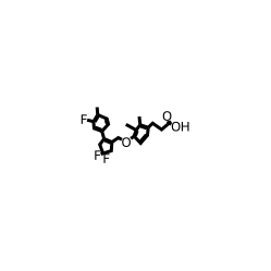 Cc1ccc(C2=C(COc3ccc(CCC(=O)O)c(C)c3C)CC(F)(F)C2)cc1F